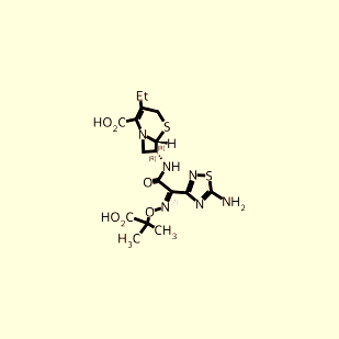 CCC1=C(C(=O)O)N2C[C@@H](NC(=O)/C(=N\OC(C)(C)C(=O)O)c3nsc(N)n3)[C@H]2SC1